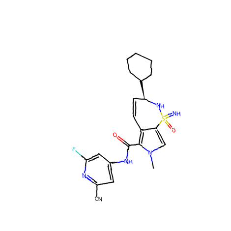 Cn1cc2c(c1C(=O)Nc1cc(F)nc(C#N)c1)C=C[C@@H](C1CCCCC1)NS2(=N)=O